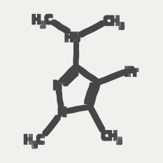 Cc1c(C(C)C)c([SH](C)C)nn1C